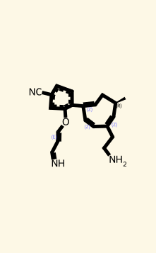 C[C@H]1\C=C(CCN)/C=C\C(c2ccc(C#N)cc2O/C=C/C=N)=C\C1